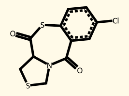 O=C1Sc2ccc(Cl)cc2C(=O)N2CSCC12